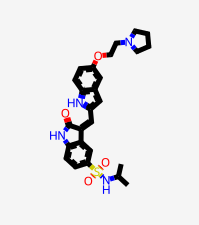 CC(C)NS(=O)(=O)c1ccc2c(c1)C(=Cc1cc3cc(OCCN4CCCC4)ccc3[nH]1)C(=O)N2